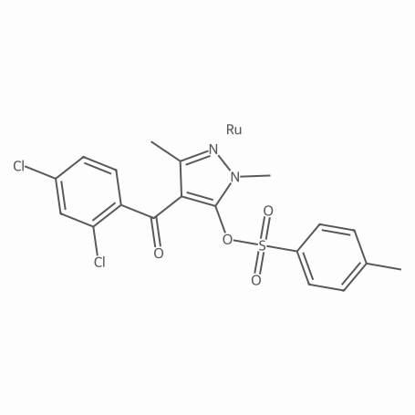 Cc1ccc(S(=O)(=O)Oc2c(C(=O)c3ccc(Cl)cc3Cl)c(C)nn2C)cc1.[Ru]